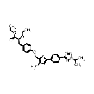 CCOC(=O)C(Cc1ccc(OCc2sc(-c3ccc(-c4nnn(C(C)C)n4)cc3)cc2C)cc1)OCC